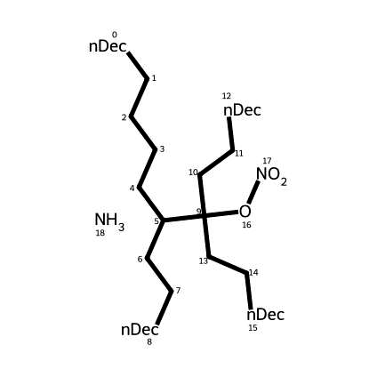 CCCCCCCCCCCCCCC(CCCCCCCCCCCC)C(CCCCCCCCCCCC)(CCCCCCCCCCCC)O[N+](=O)[O-].N